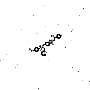 CCOc1ccc(S(=O)(=O)N(Cc2ccc(C(=O)NCC(O)c3ccccc3)cc2)Cc2ccccn2)cc1